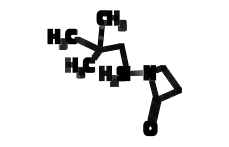 CC(C)(C)C[SiH2]N1CCC1=O